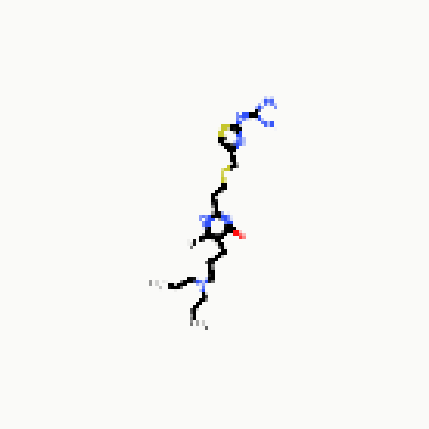 CCCN(CCC)CCCc1c(C)[nH]c(CCSCc2csc(N=C(N)N)n2)nc1=O